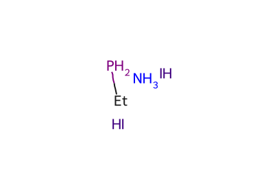 CCP.I.I.N